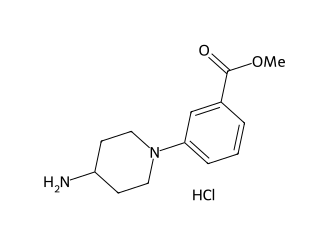 COC(=O)c1cccc(N2CCC(N)CC2)c1.Cl